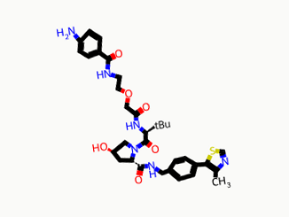 Cc1ncsc1-c1ccc(CNC(=O)[C@@H]2C[C@@H](O)CN2C(=O)[C@@H](NC(=O)COCCNC(=O)c2ccc(N)cc2)C(C)(C)C)cc1